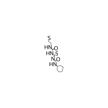 CSCCNC(=O)NC(=NC(=O)NC1CCCCC1)SC